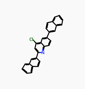 Clc1cc(-c2ccc3ccccc3c2)nc2ccc(-c3ccc4ccccc4c3)cc12